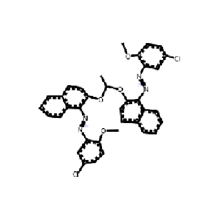 COc1ccc(Cl)cc1/N=N/c1c(OC(C)Oc2ccc3ccccc3c2/N=N/c2cc(Cl)ccc2OC)ccc2ccccc12